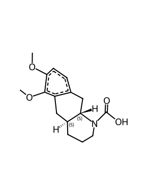 COc1ccc2c(c1OC)C[C@@H]1CCCN(C(=O)O)[C@H]1C2